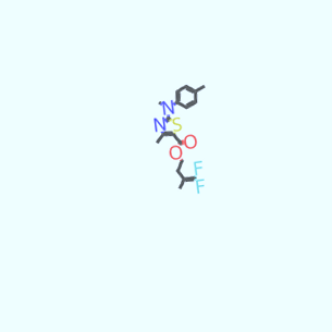 CC(CCOC(=O)c1sc(N(C)c2ccc(C)cc2)nc1C)=C(F)F